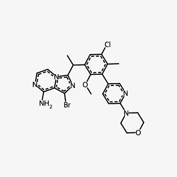 COc1c(C(C)c2nc(Br)c3c(N)nccn23)cc(Cl)c(C)c1-c1ccc(N2CCOCC2)nc1